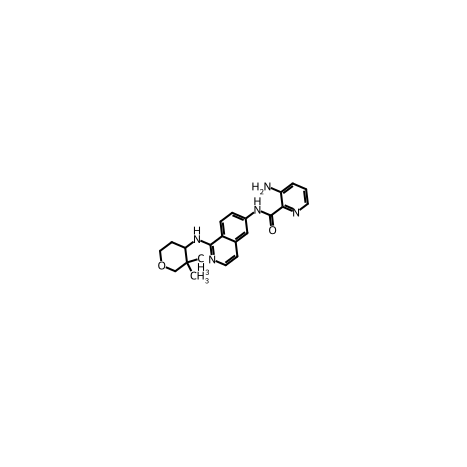 CC1(C)COCCC1Nc1nccc2cc(NC(=O)c3ncccc3N)ccc12